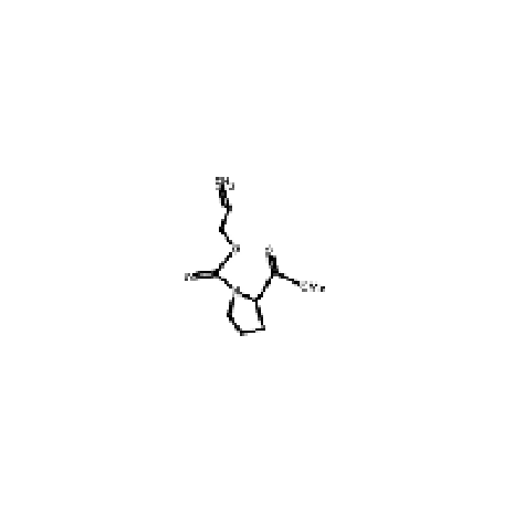 C=CCOC(=O)N1CCCC1C(=O)OC